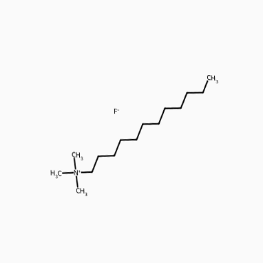 CCCCCCCCCCCC[N+](C)(C)C.[F-]